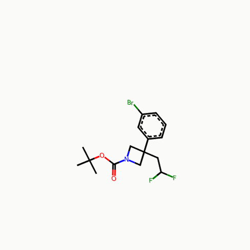 CC(C)(C)OC(=O)N1CC(CC(F)F)(c2cccc(Br)c2)C1